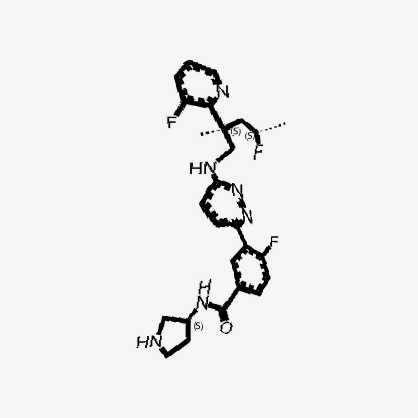 C[C@H](F)C[C@@](C)(CNc1ccc(-c2cc(C(=O)N[C@H]3CCNC3)ccc2F)nn1)c1ncccc1F